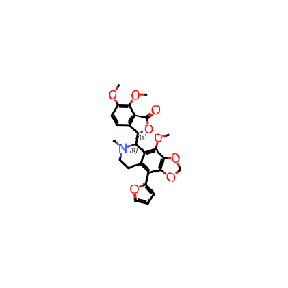 COc1ccc2c(c1OC)C(=O)O[C@@H]2[C@H]1c2c(c(-c3ccco3)c3c(c2OC)OCO3)CCN1C